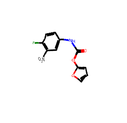 O=C(Nc1ccc(F)c([N+](=O)[O-])c1)Oc1ccco1